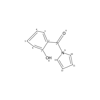 O=C(c1ccccc1O)n1cccc1